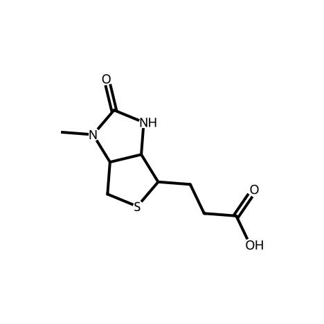 CN1C(=O)NC2C(CCC(=O)O)SCC21